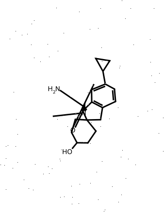 CN1C(=O)C2(N=C1N)c1cc(C3CC3)ccc1CC21CCC(O)CC1